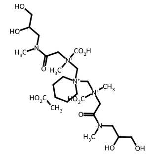 CC(=O)O.CN(CC(O)CO)C(=O)C[N+](C)(C[N+]1(C[N+](C)(CC(=O)N(C)CC(O)CO)C(=O)O)CCCCC1)C(=O)O